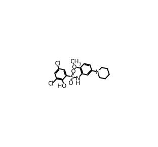 COc1ccc(N2CCCCC2)cc1NS(=O)(=O)c1cc(Cl)cc(Cl)c1O